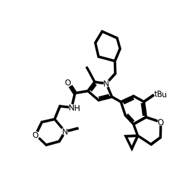 Cc1c(C(=O)NCC2COCCN2C)cc(-c2cc(C(C)(C)C)c3c(c2)C2(CCO3)CC2)n1CC1CCCCC1